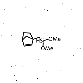 CO[SiH](CC12C=CC(CC1)C2)OC